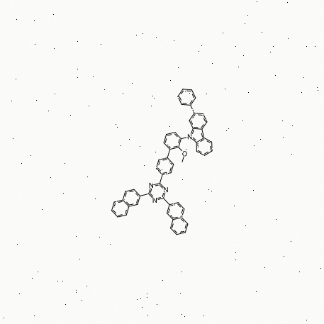 COc1c(-c2ccc(-c3nc(-c4ccc5ccccc5c4)nc(-c4ccc5ccccc5c4)n3)cc2)cccc1-n1c2ccccc2c2ccc(-c3ccccc3)cc21